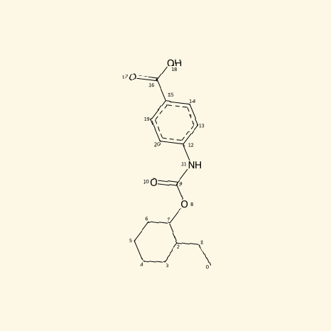 CCC1CCCCC1OC(=O)Nc1ccc(C(=O)O)cc1